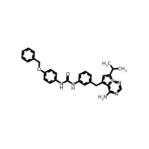 CC(C)c1cc(Cc2cccc(NC(=O)Nc3ccc(OCc4ccccc4)cc3)c2)c2c(N)ncnn12